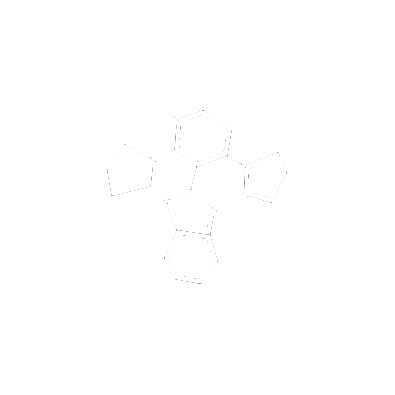 c1ccc2[nH]c(-c3c(-n4cccn4)ccnc3N3CCCC3)nc2c1